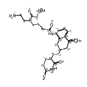 CC(C)(C)OC(=O)N(CCN)CCCC(=O)Nc1cccc2c1CC(CCC1CCC(=O)NC1=O)CC2=O